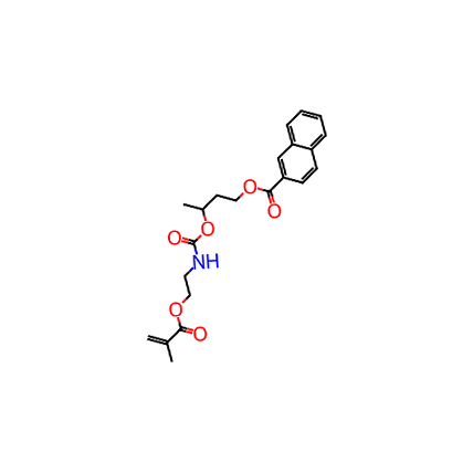 C=C(C)C(=O)OCCNC(=O)OC(C)CCOC(=O)c1ccc2ccccc2c1